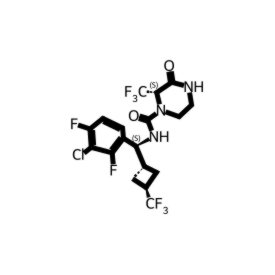 O=C1NCCN(C(=O)N[C@H](c2ccc(F)c(Cl)c2F)[C@H]2C[C@H](C(F)(F)F)C2)[C@@H]1C(F)(F)F